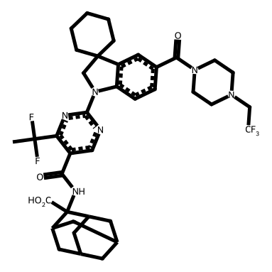 CC(F)(F)c1nc(N2CC3(CCCCC3)c3cc(C(=O)N4CCN(CC(F)(F)F)CC4)ccc32)ncc1C(=O)NC1(C(=O)O)C2CC3CC(C2)CC1C3